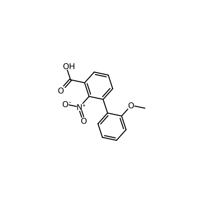 COc1ccccc1-c1cccc(C(=O)O)c1[N+](=O)[O-]